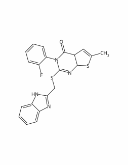 CC1=CC2C(=O)N(c3ccccc3F)C(SCc3nc4ccccc4[nH]3)=NC2S1